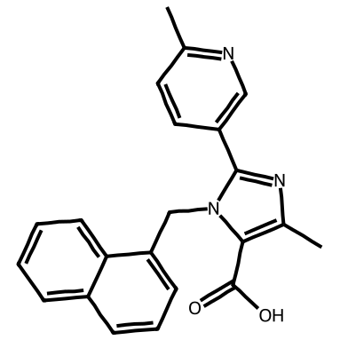 Cc1ccc(-c2nc(C)c(C(=O)O)n2Cc2cccc3ccccc23)cn1